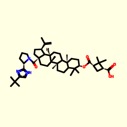 C=C(C)[C@@H]1CC[C@]2(C(=O)N3CCC[C@H]3c3nc(C(C)(C)C)c[nH]3)CC[C@]3(C)[C@H](CCC4[C@@]5(C)CC[C@H](OC(=O)[C@H]6C[C@@H](C(=O)O)C6(C)C)C(C)(C)C5CC[C@]43C)C12